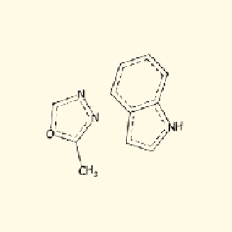 Cc1nnco1.c1ccc2[nH]ccc2c1